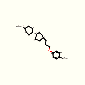 CCCCCc1ccc(OCCCC2CCC([C@H]3CC[C@H](CCCCC)CC3)CC2)cc1